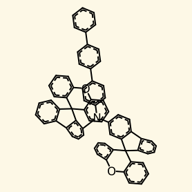 c1ccc(-c2ccc(-c3ccc(N(c4ccc5c(c4)C4(c6ccccc6Oc6ccccc64)c4ccccc4-5)c4cccc5c4C4(c6ccccc6Oc6ccccc64)c4ccccc4-5)cc3)cc2)cc1